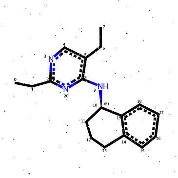 CCc1ncc(CC)c(N[C@@H]2CCCc3ccccc32)n1